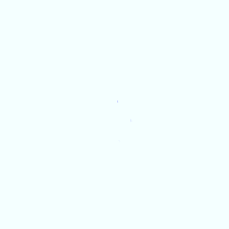 C=C/C=C(/C=C\C=C/C)C(\C)=C/C